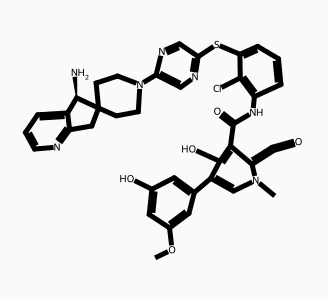 COc1cc(O)cc(C2=CN(C)C(=C=O)C(C(=O)Nc3cccc(Sc4cnc(N5CCC6(CC5)Cc5ncccc5[C@H]6N)cn4)c3Cl)=C2O)c1